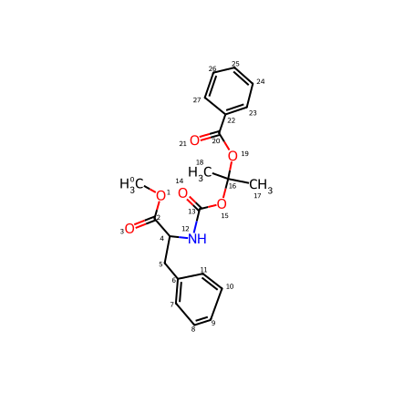 COC(=O)C(Cc1ccccc1)NC(=O)OC(C)(C)OC(=O)c1ccccc1